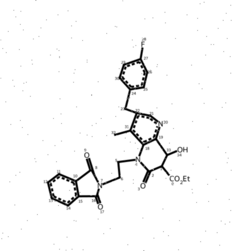 CCOC(=O)C1C(=O)N(CCN2C(=O)c3ccccc3C2=O)c2c(ncc(Cc3ccc(F)cc3)c2C)C1O